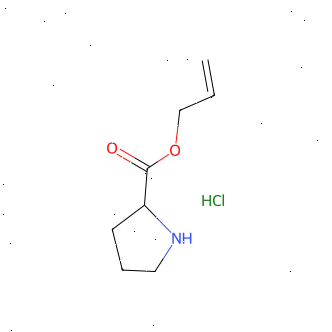 C=CCOC(=O)C1CCCN1.Cl